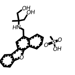 CC(CO)(CO)NCc1cc2c3ccccc3oc2c2ccccc12.CS(=O)(=O)O